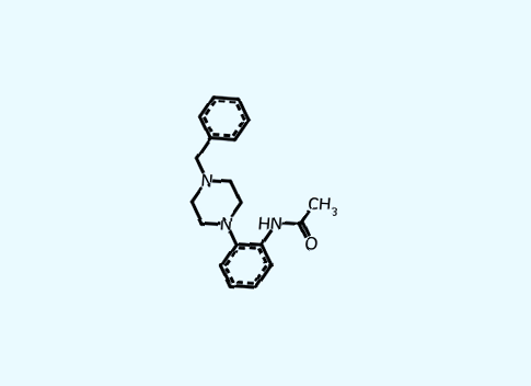 CC(=O)Nc1ccccc1N1CCN(Cc2ccccc2)CC1